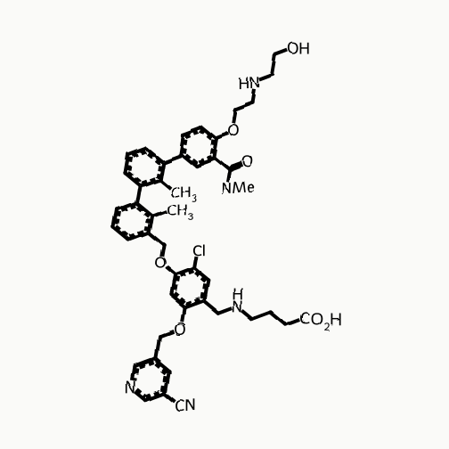 CNC(=O)c1cc(-c2cccc(-c3cccc(COc4cc(OCc5cncc(C#N)c5)c(CNCCCC(=O)O)cc4Cl)c3C)c2C)ccc1OCCNCCO